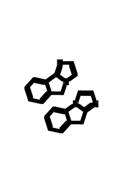 c1ccc2c(c1)Cc1nccn1-2.c1ccc2c(c1)Cn1ccnc1-2